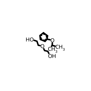 CC(C)Oc1ccccc1.OCCOCCO